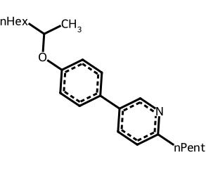 CCCCCCC(C)Oc1ccc(-c2ccc(CCCCC)nc2)cc1